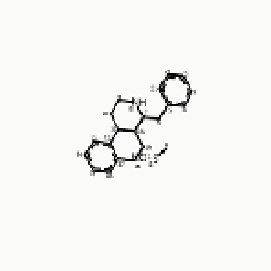 CS(=O)(=O)O.c1ccc(CC2NCCC3c4ccccc4CCC23)cc1